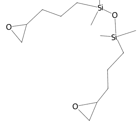 C[Si](C)(CCCC1CO1)O[Si](C)(C)CCCC1CO1